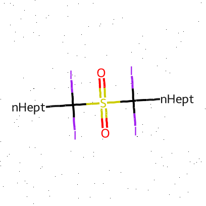 CCCCCCCC(I)(I)S(=O)(=O)C(I)(I)CCCCCCC